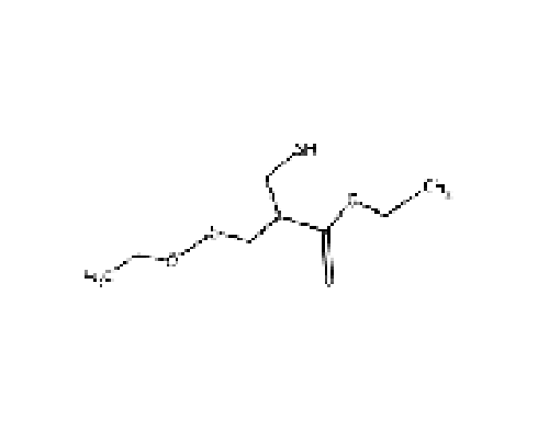 CCOSCC(CS)C(=O)OCC